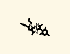 CC#Cc1cc2c(C)nc3c(-c4c(C)cc(C)cc4C)c(C)nn3c2n1CCC